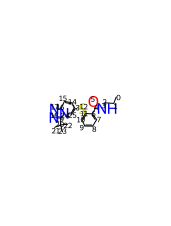 CCCNC(=O)c1ccccc1Sc1ccc2nnc(C(C)(C)C)n2c1